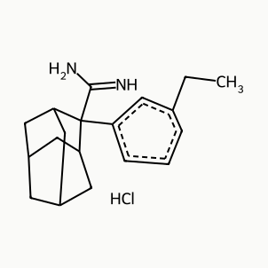 CCc1cccc(C2(C(=N)N)C3CC4CC(C3)CC2C4)c1.Cl